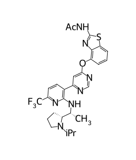 CC(=O)Nc1nc2c(Oc3cc(-c4ccc(C(F)(F)F)nc4N[C@H](C)[C@H]4CCCN4C(C)C)ncn3)cccc2s1